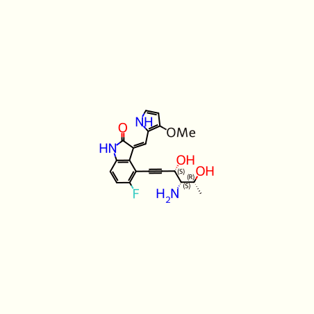 COc1cc[nH]c1C=C1C(=O)Nc2ccc(F)c(C#C[C@H](O)[C@@H](N)[C@@H](C)O)c21